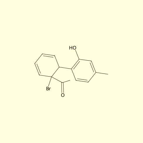 CC(=O)C1(Br)C=CC=CC1c1ccc(C)cc1O